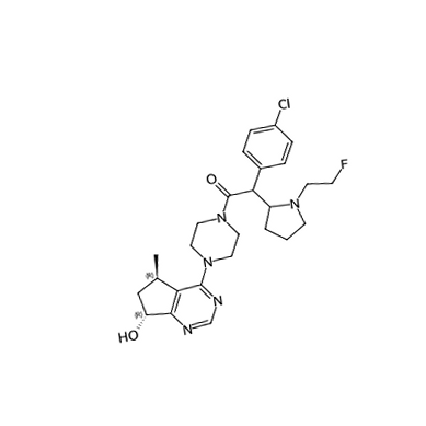 C[C@@H]1C[C@@H](O)c2ncnc(N3CCN(C(=O)C(c4ccc(Cl)cc4)C4CCCN4CCF)CC3)c21